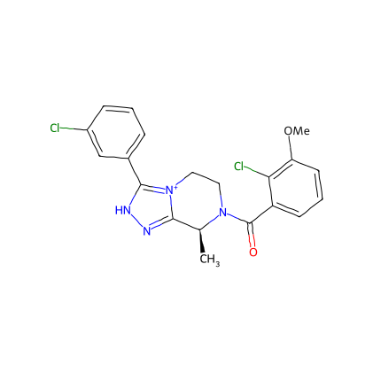 COc1cccc(C(=O)N2CC[n+]3c(n[nH]c3-c3cccc(Cl)c3)[C@@H]2C)c1Cl